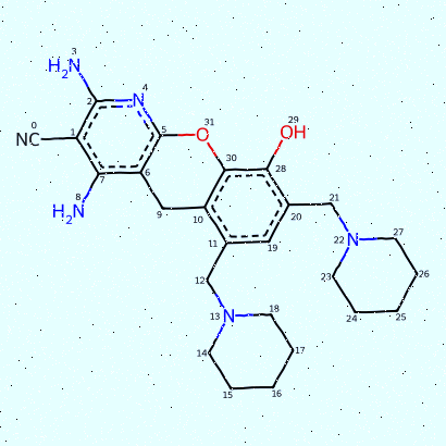 N#Cc1c(N)nc2c(c1N)Cc1c(CN3CCCCC3)cc(CN3CCCCC3)c(O)c1O2